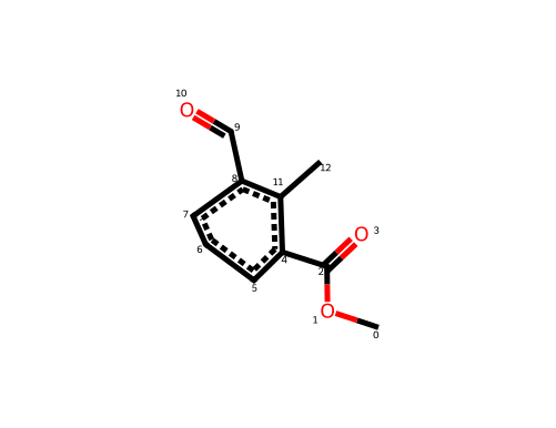 COC(=O)c1cccc(C=O)c1C